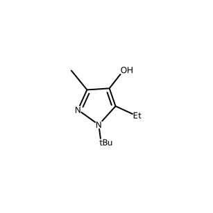 CCc1c(O)c(C)nn1C(C)(C)C